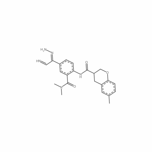 Cc1ccc2c(c1)CC(C(=O)Nc1ccc(/C(C=N)=N/N)cc1C(=O)N(C)C)CO2